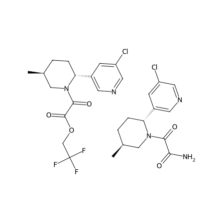 C[C@H]1CC[C@H](c2cncc(Cl)c2)N(C(=O)C(=O)OCC(F)(F)F)C1.C[C@H]1CC[C@H](c2cncc(Cl)c2)N(C(=O)C(N)=O)C1